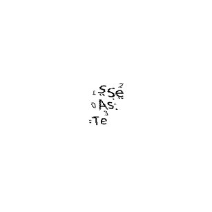 [As].[S].[Se].[Te]